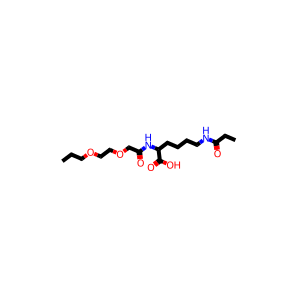 CCCOCCOCC(=O)NC(CCCCNC(=O)CC)C(=O)O